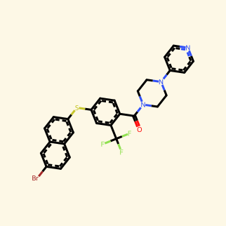 O=C(c1ccc(Sc2ccc3cc(Br)ccc3c2)cc1C(F)(F)F)N1CCN(c2ccncc2)CC1